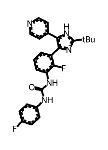 CC(C)(C)c1nc(-c2cccc(NC(=O)Nc3ccc(F)cc3)c2F)c(-c2ccncc2)[nH]1